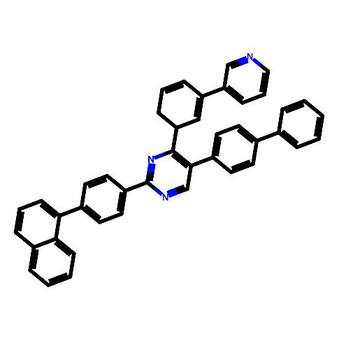 C1=CC(c2cccnc2)=CC(c2nc(-c3ccc(-c4cccc5ccccc45)cc3)ncc2-c2ccc(-c3ccccc3)cc2)C1